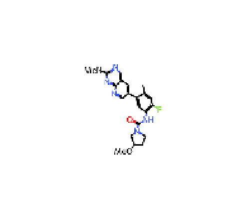 CNc1ncc2cc(-c3cc(NC(=O)N4CC[C@@H](OC)C4)c(F)cc3C)cnc2n1